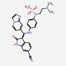 CN(C)CCN(c1ccc(NC(=C2C(=O)Nc3cc(C#N)ccc32)c2ccn3ccnc3c2)cc1)S(C)(=O)=O